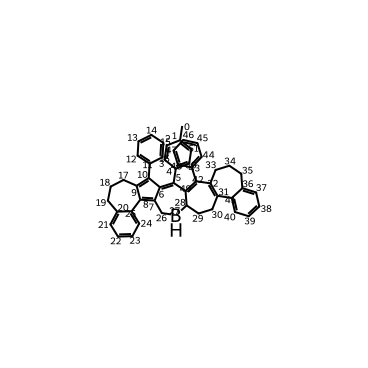 Cc1ccc(C2=C3C(=C4C(=C3c3ccccc3)CCCc3ccccc34)CBC3CCC4=C(CCCc5ccccc54)C(c4ccccc4)=C23)cc1